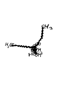 CCCCCCCCCCCCCCCC(=O)OC[C@H](COP(=O)(OC)OCC(O)CO)OC(=O)CCCCCCCCCCCCCCC